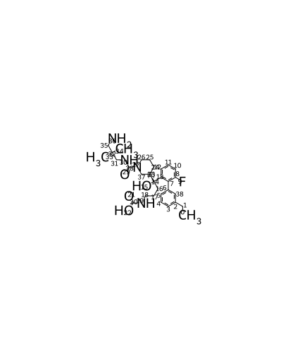 CCc1cccc(-c2c(F)cccc2C(O)(CCCNC(=O)O)[C@@H]2CCCN(C(=O)NCC(C)(C)CN)C2)c1